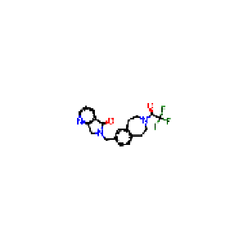 O=C1c2cccnc2CN1Cc1ccc2c(c1)CCN(C(=O)C(F)(F)F)CC2